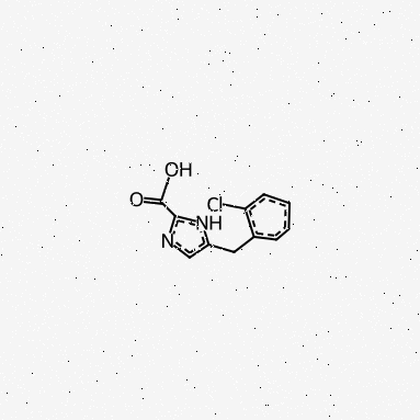 O=C(O)c1ncc(Cc2ccccc2Cl)[nH]1